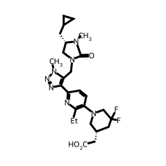 CCc1nc(-c2nnn(C)c2CN2C[C@H](CC3CC3)N(C)C2=O)ccc1N1C[C@@H](CC(=O)O)CC(F)(F)C1